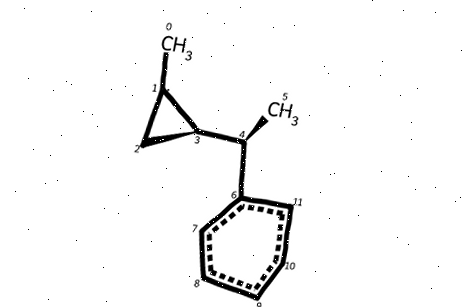 C[C]1C[C@@H]1[C@@H](C)c1ccccc1